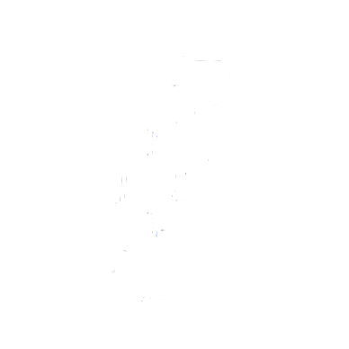 c1ccc(-c2nc3ccc(N4CCCCCC4)nc3s2)cc1